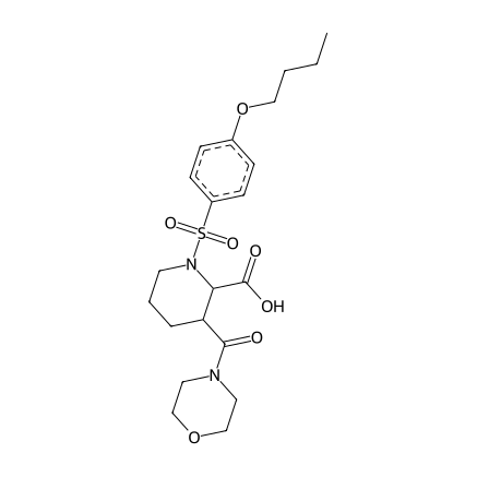 CCCCOc1ccc(S(=O)(=O)N2CCCC(C(=O)N3CCOCC3)C2C(=O)O)cc1